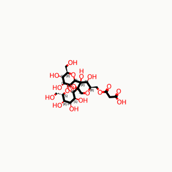 O=C(O)CC(=O)OC[C@H]1O[CH][C@@](O)([C@H]2O[C@@H](CO)[C@H](O)[C@@H](O)[C@@H]2O)[C@](O)([C@@H]2O[C@H](CO)[C@@H](O)[C@H](O)[C@H]2O)[C@@H]1O